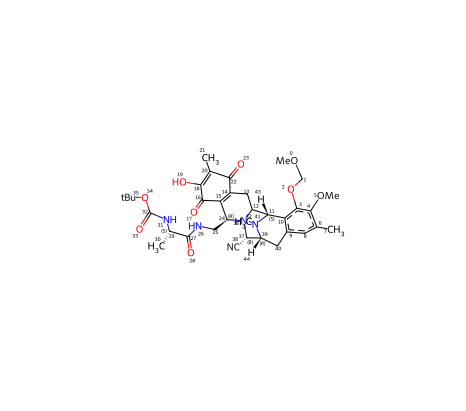 COCOc1c(OC)c(C)cc2c1[C@H]1C3CC4=C(C(=O)C(O)=C(C)C4=O)[C@H](CNC(=O)[C@H](C)NC(=O)OC(C)(C)C)N3[C@@H](C#N)[C@@H](C2)N1C